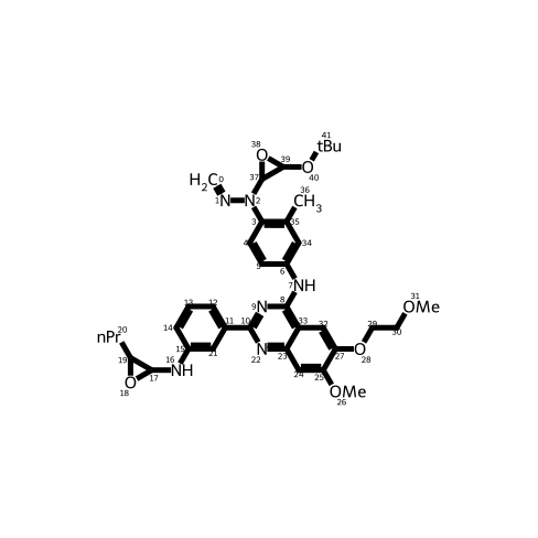 C=NN(c1ccc(Nc2nc(-c3cccc(NC4OC4CCC)c3)nc3cc(OC)c(OCCOC)cc23)cc1C)C1OC1OC(C)(C)C